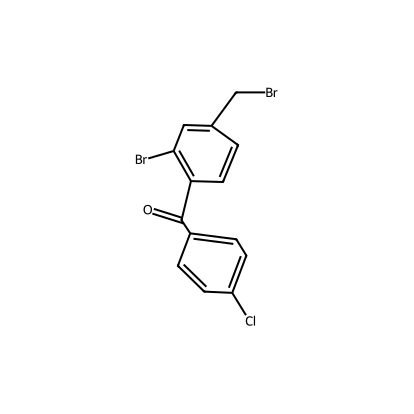 O=C(c1ccc(Cl)cc1)c1ccc(CBr)cc1Br